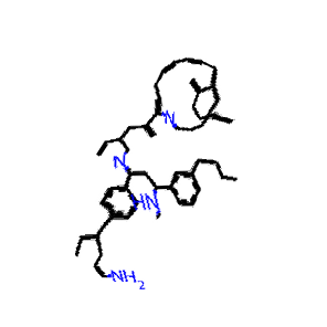 C=CCCC(=C)\C1=C/C=C\C=C/C/C=C(C(=C)CC(C=C)C/N=C(\CC(NC)c2cccc(/C=C\CC)c2)c2ccc(C(CC)C/C=C\N)cc2)/N=C/CCCC1